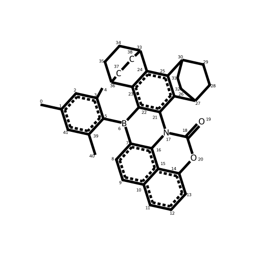 Cc1cc(C)c(B2c3ccc4cccc5c4c3N(C(=O)O5)c3c2c2c(c4c3C3CCC4CC3)C3CCC2CC3)c(C)c1